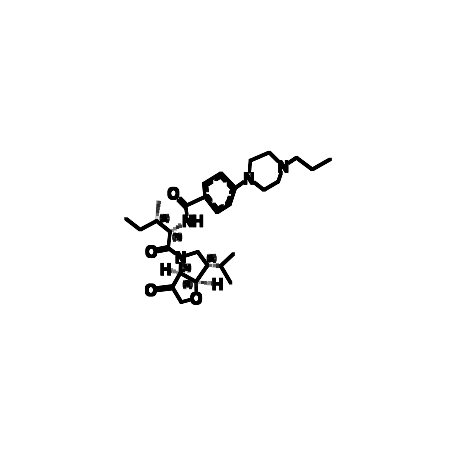 CCCN1CCN(c2ccc(C(=O)N[C@H](C(=O)N3C[C@H](C(C)C)[C@H]4OCC(=O)[C@H]43)[C@@H](C)CC)cc2)CC1